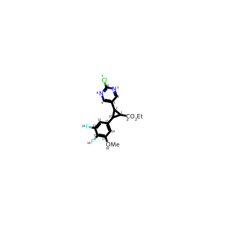 CCOC(=O)C1C(c2cnc(Cl)nc2)C1c1cc(F)c(F)c(OC)c1